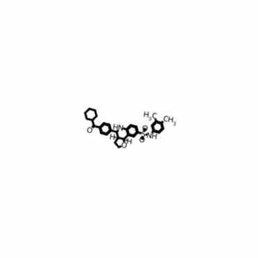 Cc1ccc(NS(=O)(=O)c2ccc3c(c2)[C@H]2OCC[C@H]2C(c2ccc(C(=O)C4CCCCC4)cc2)N3)cc1C